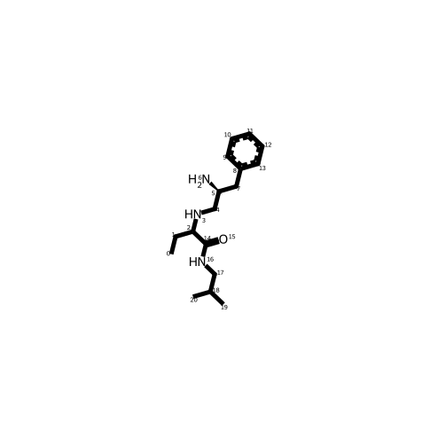 CCC(NC[C@@H](N)Cc1ccccc1)C(=O)NCC(C)C